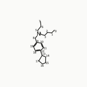 CCCCN(CCC)Cc1ccc(C2CCCC2)cc1